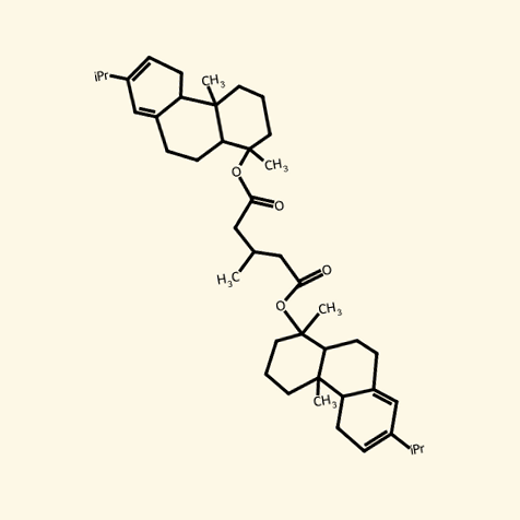 CC(CC(=O)OC1(C)CCCC2(C)C3CC=C(C(C)C)C=C3CCC12)CC(=O)OC1(C)CCCC2(C)C3CC=C(C(C)C)C=C3CCC12